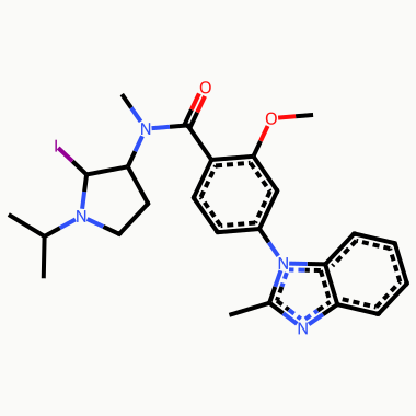 COc1cc(-n2c(C)nc3ccccc32)ccc1C(=O)N(C)C1CCN(C(C)C)C1I